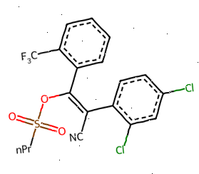 CCCS(=O)(=O)O/C(=C(\C#N)c1ccc(Cl)cc1Cl)c1ccccc1C(F)(F)F